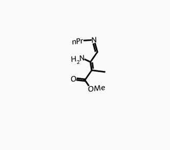 CCC/N=C\C(N)=C(/C)C(=O)OC